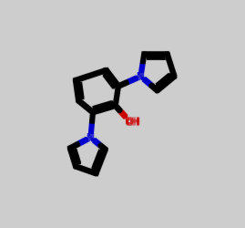 Oc1c(-n2cccc2)cccc1-n1cccc1